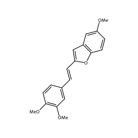 COc1ccc2oc(/C=C/c3ccc(OC)c(OC)c3)cc2c1